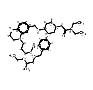 CCOC(C)COCc1ccc([C@H]2C[C@H](CC(=O)N(CC)CC)NC[C@@H]2OCc2ccc3c(c2)N(CCCOC)CCO3)cc1